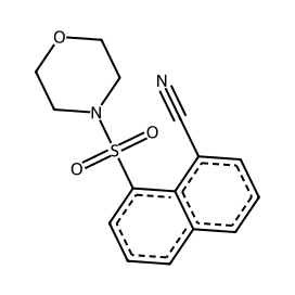 N#Cc1cccc2cccc(S(=O)(=O)N3CCOCC3)c12